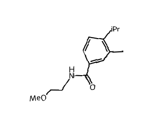 COCCNC(=O)c1ccc(C(C)C)c(C)c1